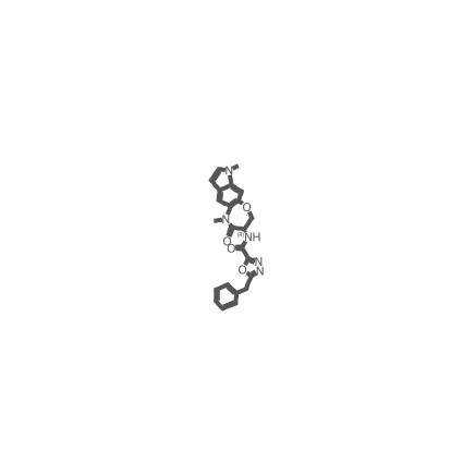 CN1C(=O)[C@H](NC(=O)c2nnc(Cc3ccccc3)o2)COc2cc3c(ccn3C)cc21